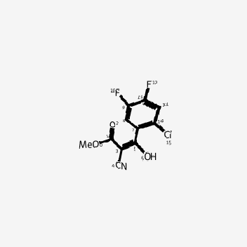 COC(=O)C(C#N)=C(O)c1cc(F)c(F)cc1Cl